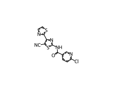 N#Cc1sc(NC(=O)c2ccc(Cl)nc2)nc1-c1nccs1